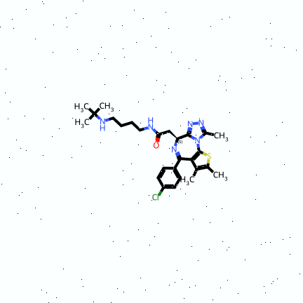 Cc1sc2c(c1C)C(c1ccc(Cl)cc1)=N[C@@H](CC(=O)NCCCCNC(C)(C)C)c1nnc(C)n1-2